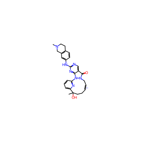 CN1CCc2ccc(Nc3ncc4c(=O)n5n(c4n3)-c3cccc(n3)C(C)(O)CC/C=C\C5)cc2C1